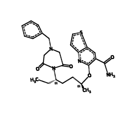 CC[C@@H](CC[C@H](C)Oc1nc2ccsc2cc1C(N)=O)N1C(=O)CN(Cc2ccccc2)CC1=O